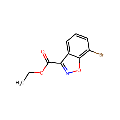 CCOC(=O)c1noc2c(Br)cccc12